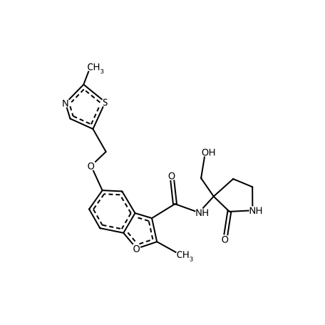 Cc1ncc(COc2ccc3oc(C)c(C(=O)NC4(CO)CCNC4=O)c3c2)s1